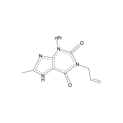 C=CCn1c(=O)c2[nH]c(C)nc2n(CCC)c1=O